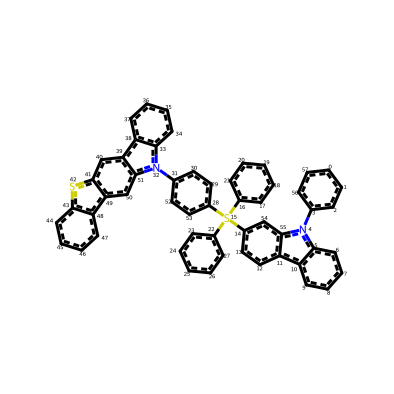 c1ccc(-n2c3ccccc3c3ccc(S(c4ccccc4)(c4ccccc4)c4ccc(-n5c6ccccc6c6cc7sc8ccccc8c7cc65)cc4)cc32)cc1